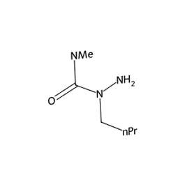 CCCCN(N)C(=O)NC